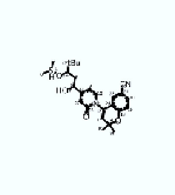 C[SiH](C)OC(CC(O)c1ccn(C2=CC(C)(C)Oc3ccc(C#N)cc32)c(=O)c1)C(C)(C)C